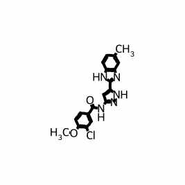 COc1ccc(C(=O)Nc2cc(-c3nc4cc(C)ccc4[nH]3)[nH]n2)cc1Cl